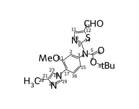 COc1cc(N(C(=O)OC(C)(C)C)c2ncc(C=O)s2)ccc1-n1cnc(C)c1